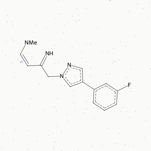 CN/C=C\C(=N)Cn1cc(-c2cccc(F)c2)cn1